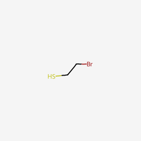 SCCBr